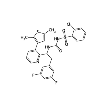 Cc1cc(-c2cccnc2C(Cc2cc(F)cc(F)c2)NC(=O)NS(=O)(=O)c2ccccc2Cl)c(C)s1